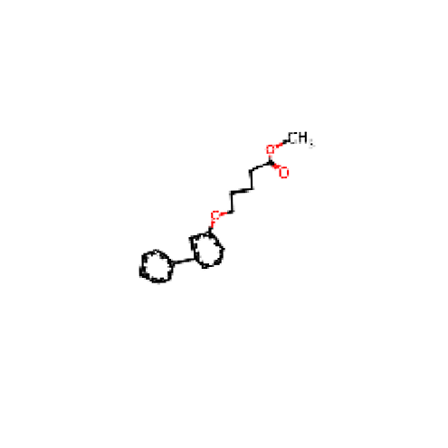 COC(=O)CCCCOc1cccc(-c2ccccc2)c1